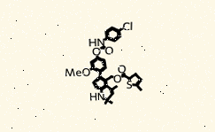 COc1cc(OC(=O)Nc2ccc(Cl)cc2)ccc1-c1ccc2c(c1COC(=O)C1CC=C(C)S1)C(C)=CC(C)(C)N2